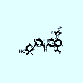 CC(C)c1ccc(N2C[C@H](O)[C@H]2C)c2cnc(Nc3ccnc(N4CC[C@@H](O)[C@@](C)(F)C4)n3)cc12